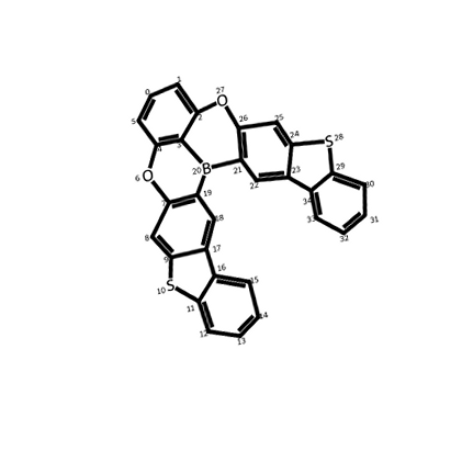 c1cc2c3c(c1)Oc1cc4sc5ccccc5c4cc1B3c1cc3c(cc1O2)sc1ccccc13